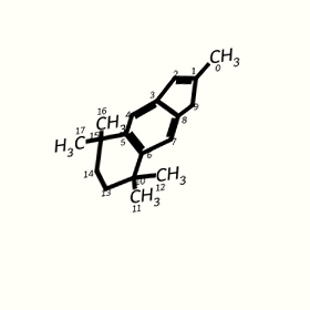 CC1=Cc2cc3c(cc2C1)C(C)(C)CCC3(C)C